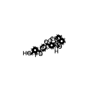 COc1cc(NS(=O)(=O)c2cccc3cccnc23)ccc1C(=O)N1CCN(C(=O)c2cccc(CO)c2F)CC1